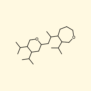 CC(C)C1COC(CC(C)C2CCCOCC2C(C)C)CC1C(C)C